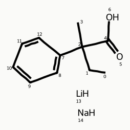 CCC(C)(C(=O)O)c1ccccc1.[LiH].[NaH]